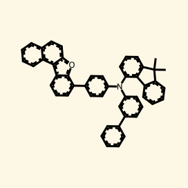 CC1(C)c2ccccc2-c2c(N(c3ccc(-c4cccc5c4oc4ccc6ccccc6c45)cc3)c3cccc(-c4ccccc4)c3)cccc21